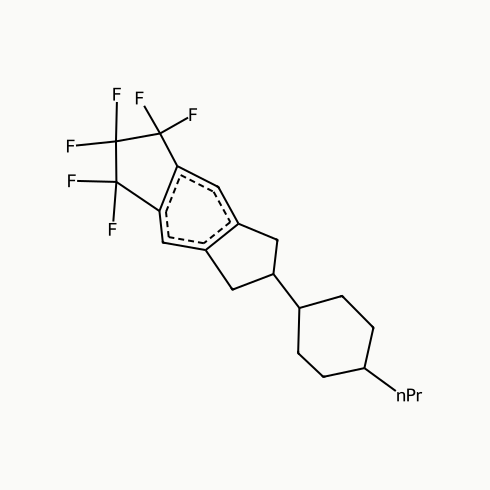 CCCC1CCC(C2Cc3cc4c(cc3C2)C(F)(F)C(F)(F)C4(F)F)CC1